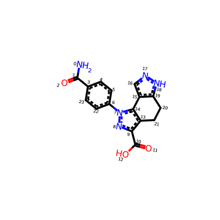 NC(=O)c1ccc(-n2nc(C(=O)O)c3c2-c2cn[nH]c2CC3)cc1